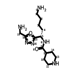 NCCCC[C@H](NC(=O)C1CCNCC1)c1nnc(CN)o1